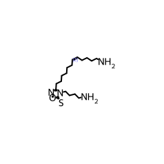 NCCCC/C=C\CCCCCCc1noc(=S)n1CCCCN